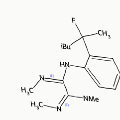 CCC(C)C(C)(F)c1ccccc1NC(=N/C)/C(=N\C)NC